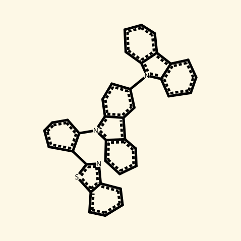 c1ccc(-n2c3ccccc3c3cc(-n4c5ccccc5c5ccccc54)ccc32)c(-c2nc3ccccc3s2)c1